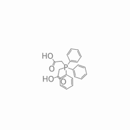 O=C(O)CP(CC(=O)O)(c1ccccc1)(c1ccccc1)c1ccccc1